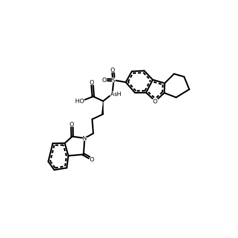 O=C(O)[C@H](CCCN1C(=O)c2ccccc2C1=O)[AsH]S(=O)(=O)c1ccc2c3c(oc2c1)CCCC3